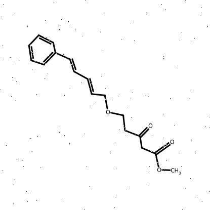 COC(=O)CC(=O)CCOC/C=C/C=C/c1ccccc1